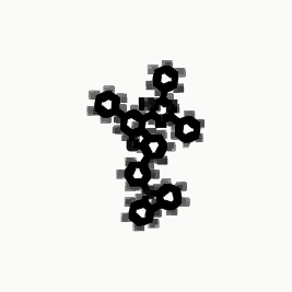 C1=C(C2N=C(c3ccccc3)N=C(c3ccccc3)N2)c2c(oc3c(-c4cccc(-n5c6ccccc6c6ccccc65)c4)cccc23)CC1c1ccccc1